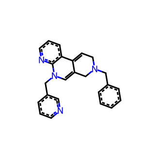 C1=C2CN(Cc3ccccc3)CC=C2c2cccnc2N1Cc1cccnc1